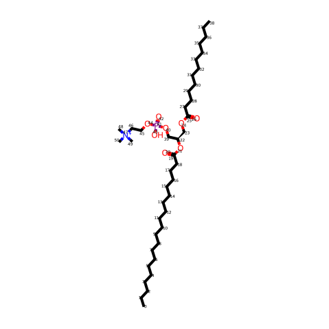 CCCCCCCCCCCCCCCCCCCC(=O)O[C@H](COC(=O)CCCCCCCCCCCC)COP(=O)(O)OCC[N+](C)(C)C